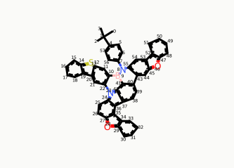 CC(C)(C)c1ccc(N2B3c4cc5sc6ccccc6c5cc4-n4c5ccc6oc7ccccc7c6c5c5ccc(c3c54)-c3cc4oc5ccccc5c4cc32)cc1